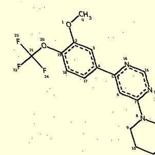 COc1cc(-c2cc(N3CCCCC3)ncn2)ccc1OC(F)(F)F